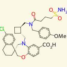 COc1ccc(CN(C[C@@H]2CC[C@H]2CN2C[C@@]3(CCCc4cc(Cl)ccc43)COc3ccc(C(=O)O)cc32)C(=O)CCCS(N)(=O)=O)cc1